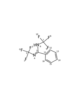 FC(F)(F)N=C(NC(F)(F)F)c1ccccc1